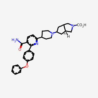 NC(=O)c1ccc(C2CCN(C3CC4CN(C(=O)O)C[C@@H]4C3)CC2)nc1-c1ccc(Oc2ccccc2)cc1